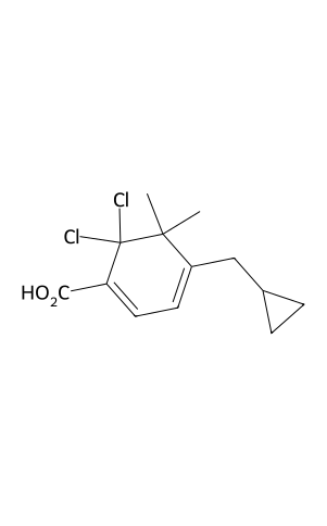 CC1(C)C(CC2CC2)=CC=C(C(=O)O)C1(Cl)Cl